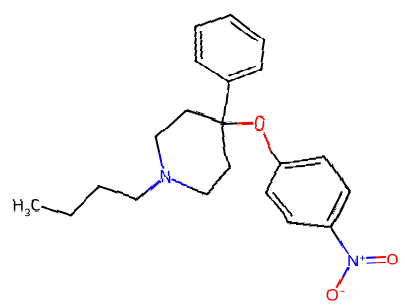 CCCCN1CCC(Oc2ccc([N+](=O)[O-])cc2)(c2ccccc2)CC1